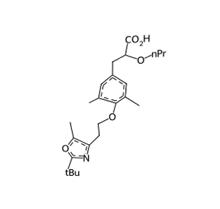 CCCOC(Cc1cc(C)c(OCCc2nc(C(C)(C)C)oc2C)c(C)c1)C(=O)O